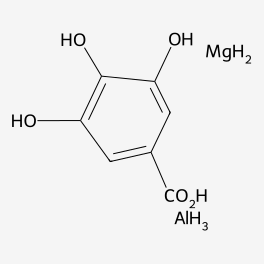 O=C(O)c1cc(O)c(O)c(O)c1.[AlH3].[MgH2]